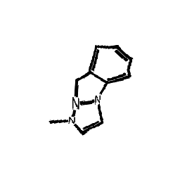 CN1C=CN2c3ccccc3CN12